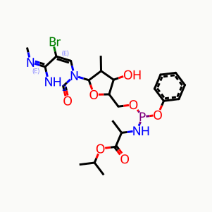 C/N=C(N)\C(Br)=C/N(C=O)C1OC(COP(NC(C)C(=O)OC(C)C)Oc2ccccc2)C(O)C1C